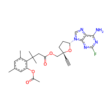 C#C[C@@]1(COC(=O)CC(C)(C)c2c(C)cc(C)cc2OC(C)=O)CC[C@H](n2cnc3c(N)nc(F)nc32)O1